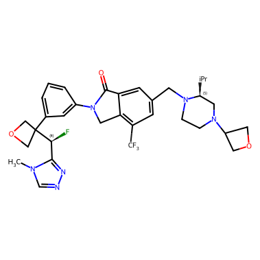 CC(C)[C@H]1CN(C2COC2)CCN1Cc1cc2c(c(C(F)(F)F)c1)CN(c1cccc(C3([C@@H](F)c4nncn4C)COC3)c1)C2=O